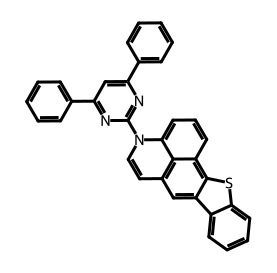 C1=CN(c2nc(-c3ccccc3)cc(-c3ccccc3)n2)c2cccc3c2c1cc1c2ccccc2sc31